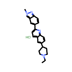 CCN1CCC(c2ccc3nc(-c4ccc5nn(C)cc5c4)ccc3c2)CC1.Cl